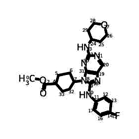 COC(=O)C1CCC(n2c(Nc3ccc(F)cc3)nc3cnc(NC4CCOCC4)nc32)CC1